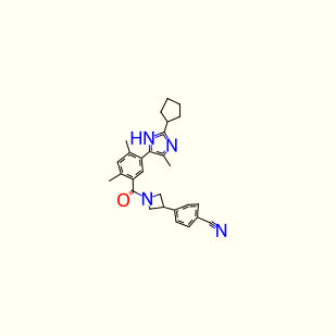 Cc1cc(C)c(-c2[nH]c(C3CCCC3)nc2C)cc1C(=O)N1CC(c2ccc(C#N)cc2)C1